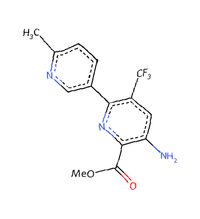 COC(=O)c1nc(-c2ccc(C)nc2)c(C(F)(F)F)cc1N